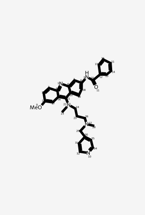 COc1ccc2nc3cc(NC(=O)c4ccccc4)ccc3c(N(C)CCCN(C)Cc3ccncc3)c2c1